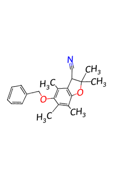 Cc1c(C)c2c(c(C)c1OCc1ccccc1)C(C#N)C(C)(C)O2